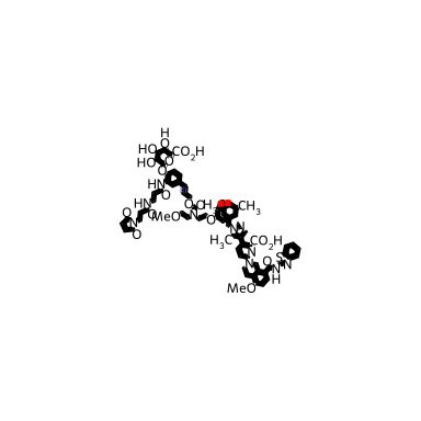 COCCN(CCOC1CC2(Cn3ncc(-c4ccc(N5CCc6c(OC)ccc(C(=O)Nc7nc8ccccc8s7)c6C5)nc4C(=O)O)c3C)CC3(C)CCC1C(C)(C3)C2)C(=O)OC/C=C/c1ccc(O[C@@H]2O[C@H](C(=O)O)[C@@H](O)[C@H](O)[C@H]2O)c(NC(=O)CCNC(=O)CCN2C(=O)C=CC2=O)c1